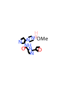 COBN1CCN(c2ccncc2NC(=O)c2ccnc(-c3ccoc3)n2)CC1